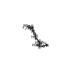 Cc1ncsc1-c1ccc(CNC(=O)[C@@H]2C[C@@H](O)CN2C(=O)[C@@H](NC(=O)CCN2CCC(NC(=O)c3ccc(-c4ccc(N5C(=S)N(c6ccc(C#N)c(C(F)(F)F)c6F)C(=O)C5(C)C)cn4)cc3)C2)C(C)(C)C)cc1